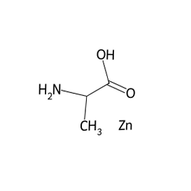 CC(N)C(=O)O.[Zn]